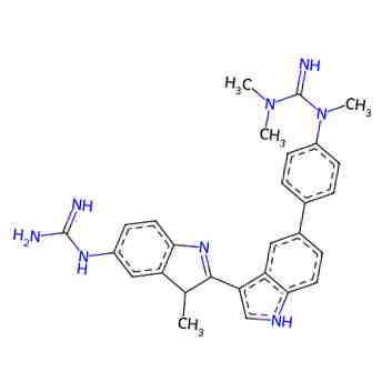 CC1C(c2c[nH]c3ccc(-c4ccc(N(C)C(=N)N(C)C)cc4)cc23)=Nc2ccc(NC(=N)N)cc21